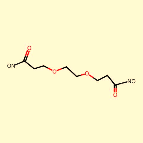 O=NC(=O)CCOCCOCCC(=O)N=O